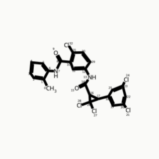 Cc1c[c]ccc1NC(=O)c1cc(NC(=O)C2C(c3cc(Cl)cc(Cl)c3)C2(Cl)Cl)ccc1Cl